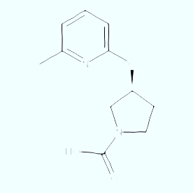 Cc1cccc(O[C@H]2CCN(C(=O)O)C2)n1